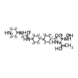 C[C@@H](O)[C@H](NC(=O)c1ccc(-c2ccc(NC(=O)CNC3CCNCC3)cc2)cc1)C(=O)NO